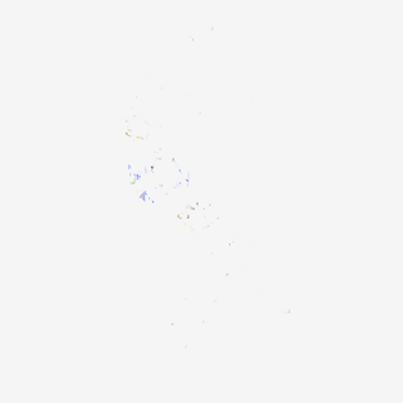 CCCCCCCCC(CCCCCC)Cc1csc(-c2cnc(-c3cc(CC(CCCCCC)CCCCCCCC)cs3)c3nsnc23)c1